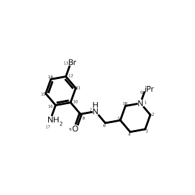 CC(C)N1CCCC(CNC(=O)c2cc(Br)ccc2N)C1